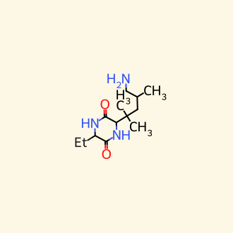 CCC1NC(=O)C(C(C)(C)CC(C)CN)NC1=O